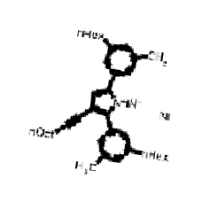 CCCCCCCCC#CC1=C(c2cc(C)cc(CCCCCC)c2)[N+](=[N-])C(c2cc(C)cc(CCCCCC)c2)=C1.[Ni]